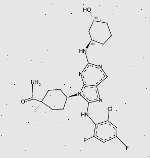 C[C@]1(C(N)=O)CC[C@@H](n2c(Nc3c(F)cc(F)cc3Cl)nc3cnc(N[C@@H]4CCC[C@@H](O)C4)nc32)CC1